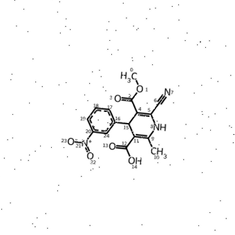 COC(=O)C1=C(C#N)NC(C)=C(C(=O)O)C1c1cccc([N+](=O)[O-])c1